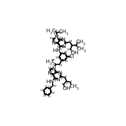 CCC(CO)Cc1nc(NCc2ccccc2)c2ncn(C(C)Cc3cc(Cl)cc(Nc4nc(CC(CO)C(C)C)nc5c4ncn5C(C)C)c3)c2n1